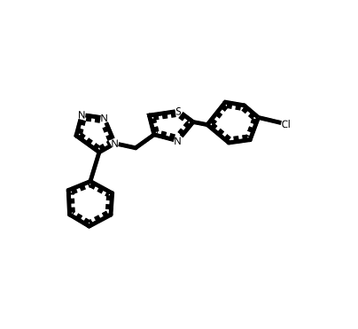 Clc1ccc(-c2nc(Cn3nncc3-c3ccccc3)cs2)cc1